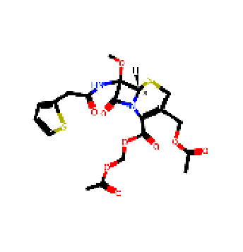 COC1(NC(=O)Cc2cccs2)C(=O)N2C(C(=O)OCOC(C)=O)=C(COC(C)=O)CS[C@H]21